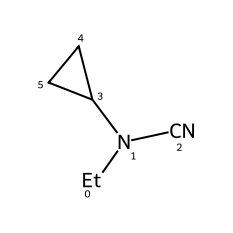 CCN(C#N)C1CC1